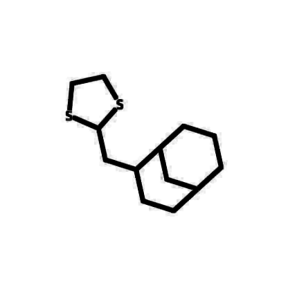 C1CC2CCC(CC3SCCS3)C(C1)C2